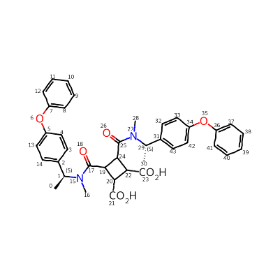 C[C@@H](c1ccc(Oc2ccccc2)cc1)N(C)C(=O)C1C(C(=O)O)C(C(=O)O)C1C(=O)N(C)[C@@H](C)c1ccc(Oc2ccccc2)cc1